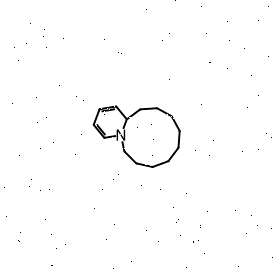 C1=CC2CCCCCCCCCN2C=C1